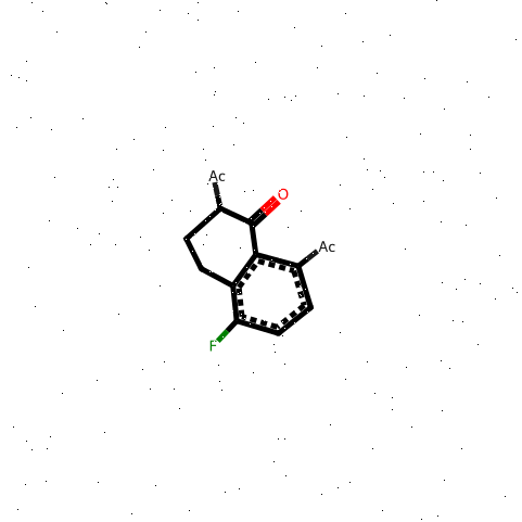 CC(=O)c1ccc(F)c2c1C(=O)C(C(C)=O)CC2